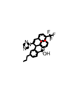 CCCc1ccc(C(=O)O)c(C(/C(=C\c2ccc(C(F)(F)F)cc2)n2cncn2)c2ccccc2)c1